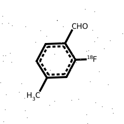 Cc1ccc(C=O)c([18F])c1